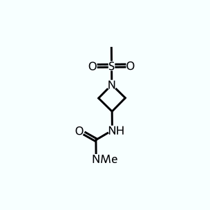 CNC(=O)NC1CN(S(C)(=O)=O)C1